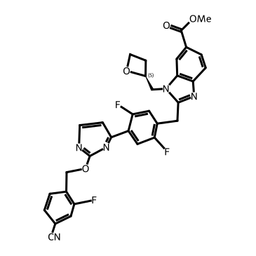 COC(=O)c1ccc2nc(Cc3cc(F)c(-c4ccnc(OCc5ccc(C#N)cc5F)n4)cc3F)n(C[C@@H]3CCO3)c2c1